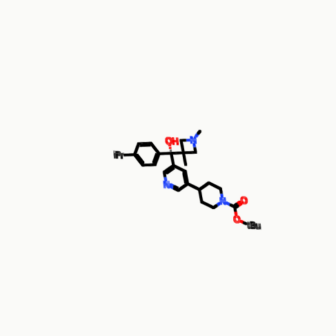 CC(C)c1ccc([C@](O)(c2cncc(C3CCN(C(=O)OC(C)(C)C)CC3)c2)C2(C)CN(C)C2)cc1